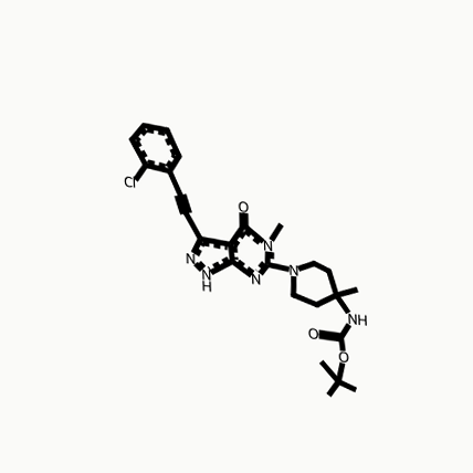 Cn1c(N2CCC(C)(NC(=O)OC(C)(C)C)CC2)nc2[nH]nc(C#Cc3ccccc3Cl)c2c1=O